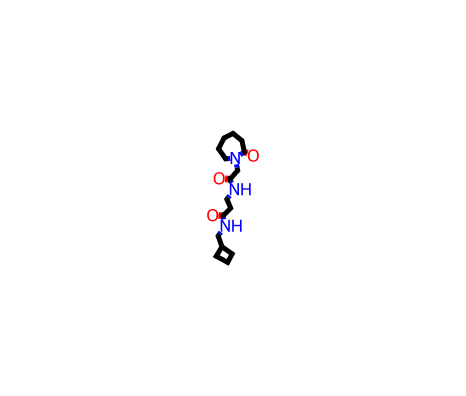 O=C(CCNC(=O)CN1CCCCCC1=O)NCC1CCC1